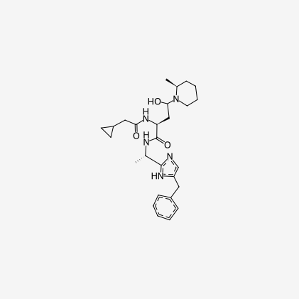 C[C@H](NC(=O)[C@H](CC(O)N1CCCC[C@@H]1C)NC(=O)CC1CC1)c1ncc(Cc2ccccc2)[nH]1